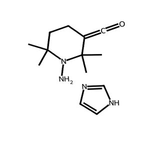 CC1(C)CCC(=C=O)C(C)(C)N1N.c1c[nH]cn1